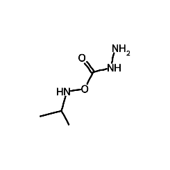 CC(C)NOC(=O)NN